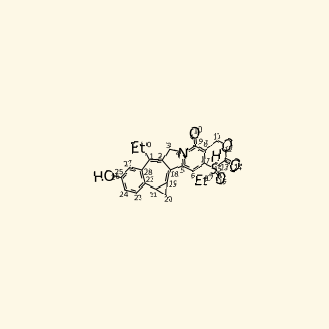 CCC1=C2Cn3c(cc4c(c3=O)COC(=O)[SH]4(=O)CC)C2=C2CC2c2ccc(O)cc21